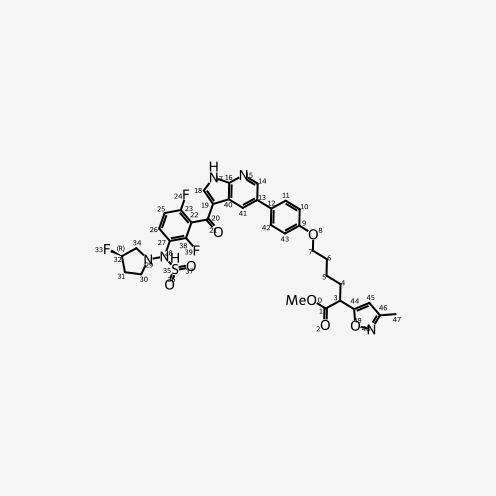 COC(=O)C(CCCCOc1ccc(-c2cnc3[nH]cc(C(=O)c4c(F)ccc(N(N5CC[C@@H](F)C5)[SH](=O)=O)c4F)c3c2)cc1)c1cc(C)no1